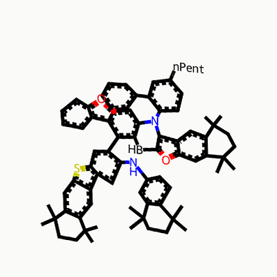 CCCCCc1ccc(N2c3cc4oc5ccccc5c4c(-c4cc5sc6cc7c(cc6c5cc4Nc4ccc5c(c4)C(C)(C)CCC5(C)C)C(C)(C)CCC7(C)C)c3Bc3oc4cc5c(cc4c32)C(C)(C)CCC5(C)C)c(-c2ccccc2)c1